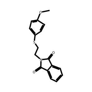 COc1ccc(SCCN2C(=O)c3ccccc3C2=O)cc1